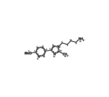 COc1ccc(-c2cn(CCCCN)c(C)n2)cn1